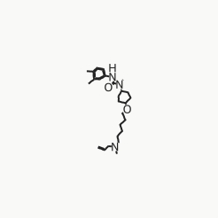 C=CCN(C)CCCCCCO[C@H]1CC[C@H](N(C)C(=O)Nc2ccc(C)c(C)c2)CC1